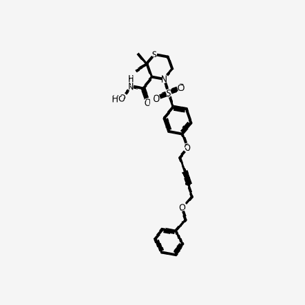 CC1(C)SCCN(S(=O)(=O)c2ccc(OCC#CCOCc3ccccc3)cc2)C1C(=O)NO